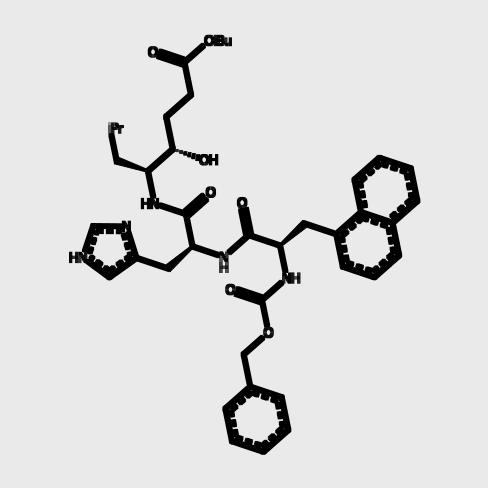 CC(C)COC(=O)CC[C@H](O)[C@H](CC(C)C)NC(=O)[C@H](Cc1c[nH]cn1)NC(=O)[C@@H](Cc1cccc2ccccc12)NC(=O)OCc1ccccc1